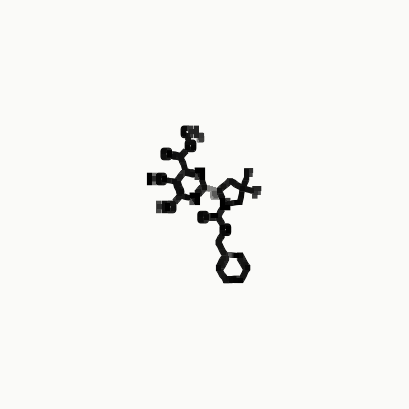 COC(=O)c1nc([C@@H]2CC(F)(F)CN2C(=O)OCc2ccccc2)nc(O)c1O